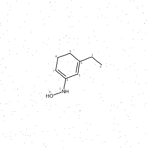 CCC1=[C]C(NO)=CCC1